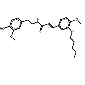 CCCCCOc1cc(/C=C/C(=O)NCCc2ccc(O)c(OC)c2)ccc1OC